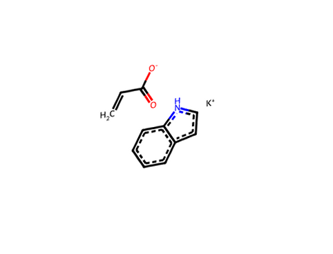 C=CC(=O)[O-].[K+].c1ccc2[nH]ccc2c1